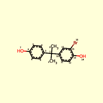 CC(C)(c1ccc(O)cc1)c1ccc(O)c(Br)c1